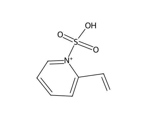 C=Cc1cccc[n+]1S(=O)(=O)O